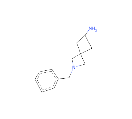 NC1CC2(C1)CN(Cc1ccccc1)C2